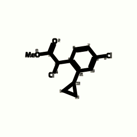 COC(=O)C(Cl)c1ccc(Cl)cc1C1CC1